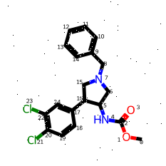 COC(=O)NC1CN(Cc2ccccc2)CC1c1ccc(Cl)c(Cl)c1